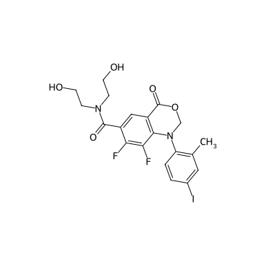 Cc1cc(I)ccc1N1COC(=O)c2cc(C(=O)N(CCO)CCO)c(F)c(F)c21